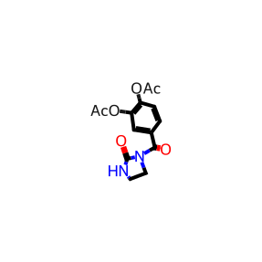 CC(=O)Oc1ccc(C(=O)N2CCNC2=O)cc1OC(C)=O